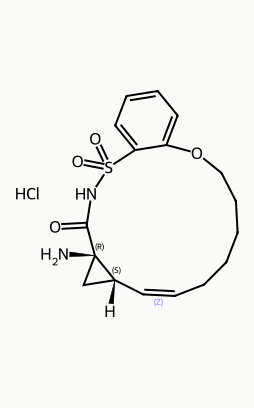 Cl.N[C@]12C[C@H]1/C=C\CCCCCOc1ccccc1S(=O)(=O)NC2=O